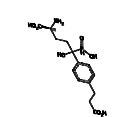 N[C@@H](CCC(O)(c1ccc(CCC(=O)O)cc1)[PH](=O)O)C(=O)O